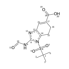 CC(C)(C)S(=O)(=O)n1c(NC=O)nc2c1CCC(C(=O)O)=C2